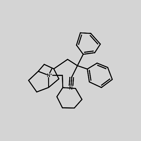 C[N+]1(CC2CCCCC2)C2CCC1CC(CC(C#N)(c1ccccc1)c1ccccc1)C2